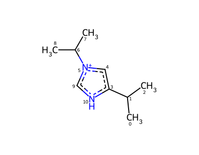 CC(C)c1c[n+](C(C)C)c[nH]1